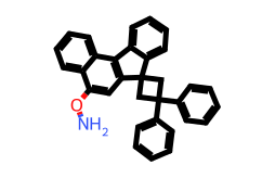 NOc1cc2c(c3ccccc13)-c1ccccc1C21CC(c2ccccc2)(c2ccccc2)C1